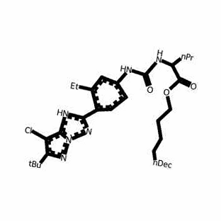 CCCCCCCCCCCCCCOC(=O)C(CCC)NC(=O)Nc1ccc(-c2nn3nc(C(C)(C)C)c(Cl)c3[nH]2)c(CC)c1